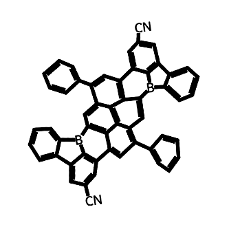 N#Cc1cc2c3c(c1)-c1cc(-c4ccccc4)c4cc5c6c(cc(-c7ccccc7)c7cc(c1c4c76)B3c1ccccc1-2)-c1cc(C#N)cc2c1B5c1ccccc1-2